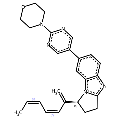 C=C(/C=C\C=C/C)[C@@H]1CCc2nc3ccc(-c4cnc(N5CCOCC5)nc4)cc3n21